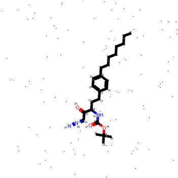 CCCCCCCCc1ccc(CCC(NC(=O)OC(C)(C)C)C(=O)C=[N+]=[N-])cc1